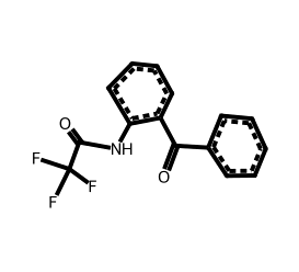 O=C(c1ccccc1)c1ccccc1NC(=O)C(F)(F)F